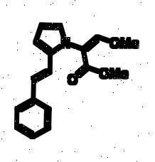 COC=C(C(=O)OC)n1cccc1C=Cc1ccccc1